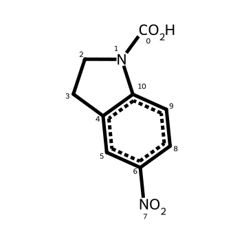 O=C(O)N1CCc2cc([N+](=O)[O-])ccc21